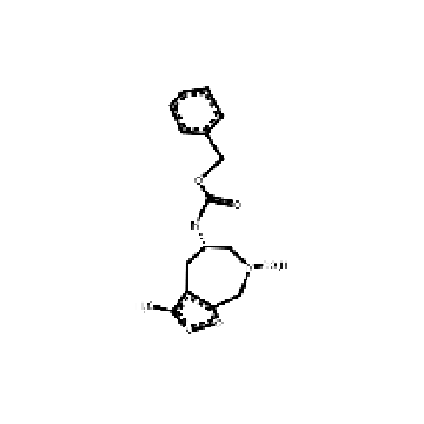 Cc1noc2c1C[C@H](NC(=O)OCc1ccccc1)CN(C(=O)O)C2